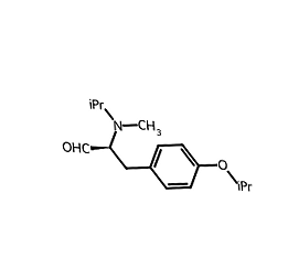 CC(C)Oc1ccc(C[C@@H](C=O)N(C)C(C)C)cc1